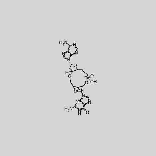 Nc1nc2c(ncn2C2OC3CO[C@@H]4C[C@H](n5cnc6c(N)ncnc65)OC4COP(=O)(O)OC2C3O)c(=O)[nH]1